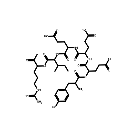 CCC(C)C(NC(=O)C(CCC(=O)O)NC(=O)C(CCC(=O)O)NC(=O)C(CCC(=O)O)NC(=O)C(N)Cc1ccc(O)cc1)C(=O)NC(CCCNC(=N)N)C(C)=O